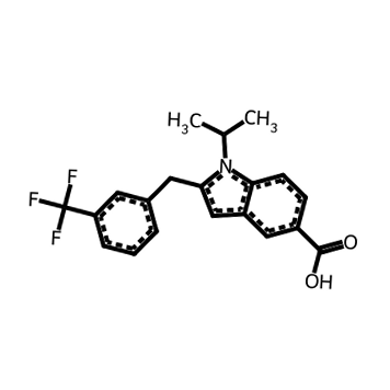 CC(C)n1c(Cc2cccc(C(F)(F)F)c2)cc2cc(C(=O)O)ccc21